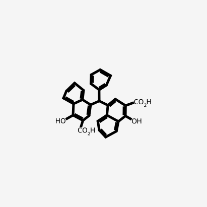 O=C(O)c1cc(C(c2ccccc2)c2cc(C(=O)O)c(O)c3ccccc23)c2ccccc2c1O